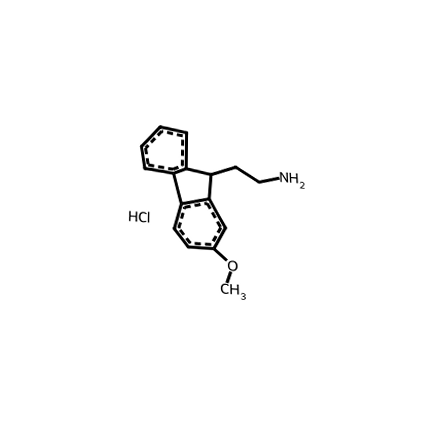 COc1ccc2c(c1)C(CCN)c1ccccc1-2.Cl